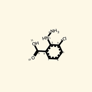 NNc1c(Cl)cccc1C(=O)O